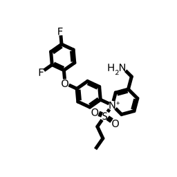 CCCS(=O)(=O)[N+]1(c2ccc(Oc3ccc(F)cc3F)cc2)C=C(CN)C=CC1